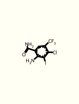 NC(=O)c1cc(C(F)(F)F)c(Cl)c(I)c1N